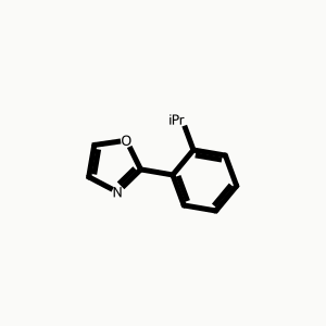 CC(C)c1ccccc1-c1ncco1